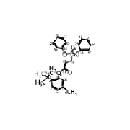 Cc1ccc(C(C)(C)C)c(OC(=O)CCP(=O)(Oc2ccccc2)Oc2ccccc2)c1